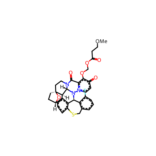 COCCC(=O)OCOc1c2n(ccc1=O)N([C@@H]1c3ccccc3SCc3cccc(F)c31)[C@@H]1[C@H]3C[C@@H]4CC[C@@]3(CCN1C2=O)O4